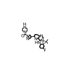 CC(C)Oc1cc(F)ccc1Nc1ncnc2ccc(-c3cnn(C(=O)N4CCNCC4)c3)nc12